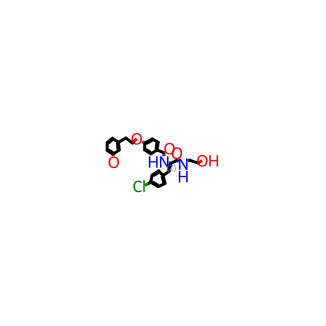 COc1cccc(CCOc2ccc(C(=O)N/C(=C\c3ccc(Cl)cc3)C(=O)NCCO)cc2)c1